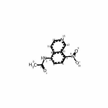 CC(=O)Nc1ccc([N+](=O)[O-])c2cnccc12